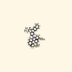 CCc1ccccc1-c1c(CC)cccc1-c1c(N(c2ccc(C(C)(C)C)cc2)c2ccc3c(c2)-c2cc4ccccc4cc2C3(C)C)ccc2ccccc12